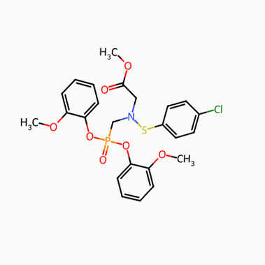 COC(=O)CN(CP(=O)(Oc1ccccc1OC)Oc1ccccc1OC)Sc1ccc(Cl)cc1